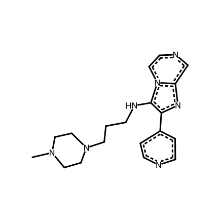 CN1CCN(CCCNc2c(-c3ccncc3)nc3cnccn23)CC1